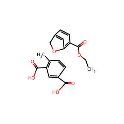 CCOC(=O)c1ccc2cc1OC2.Cc1ccc(C(=O)O)cc1C(=O)O